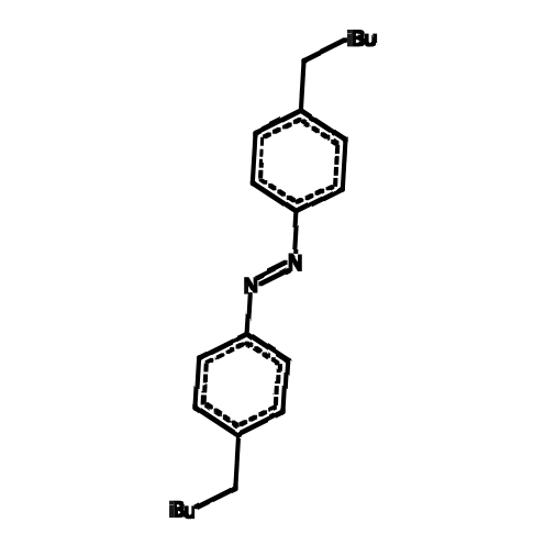 CCC(C)Cc1ccc(N=Nc2ccc(CC(C)CC)cc2)cc1